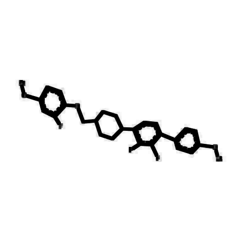 CCOc1ccc(-c2ccc(C3CCC(COc4ccc(OCC)cc4F)CC3)c(F)c2F)cc1